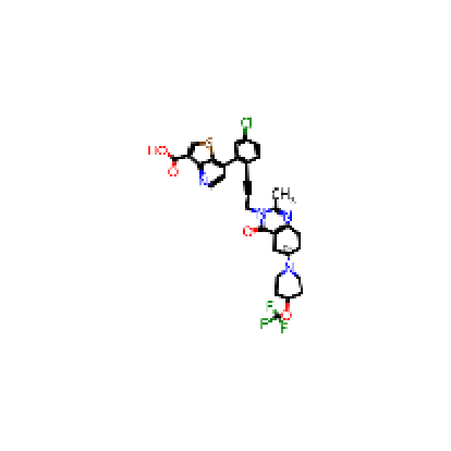 Cc1nc2c(c(=O)n1CC#Cc1ccc(Cl)cc1-c1ccnc3c(C(=O)O)csc13)C[C@@H](N1CCC(OC(F)(F)F)CC1)CC2